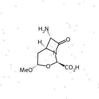 CO[C@@H]1C[C@H]2[C@H](N)C(=O)N2[C@@H](C(=O)O)O1